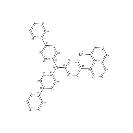 Brc1cccc2cccc(-c3ccc(N(c4ccc(-c5ccccc5)cc4)c4ccc(-c5ccccc5)cc4)cc3)c12